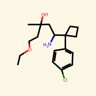 CCOCCC(C)(O)CC(N)C1(c2ccc(Cl)cc2)CCC1